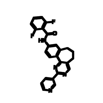 O=C(Nc1ccc2c(c1)CCCc1cnc(-c3cccnc3)nc1-2)c1c(F)cccc1F